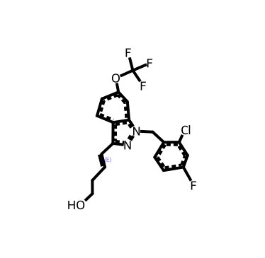 OCC/C=C/c1nn(Cc2ccc(F)cc2Cl)c2cc(OC(F)(F)F)ccc12